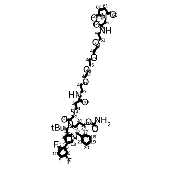 CC(C)(C)[C@H](c1cc(-c2cc(F)ccc2F)cn1Cc1ccccc1)N(CCCOC(N)=O)C(=O)CSCCC(=O)NCCOCCOCCOCCOCCNC(=O)CN1C(=O)C=CC1=O